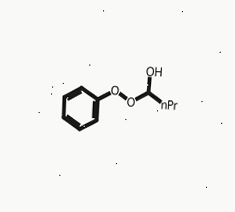 CCCC(O)OOc1ccccc1